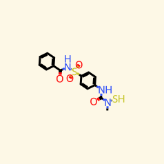 CN(S)C(=O)Nc1ccc(S(=O)(=O)NC(=O)c2ccccc2)cc1